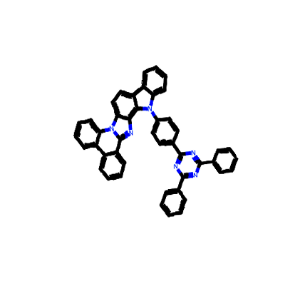 c1ccc(-c2nc(-c3ccccc3)nc(-c3ccc(-n4c5ccccc5c5ccc6c(nc7c8ccccc8c8ccccc8n67)c54)cc3)n2)cc1